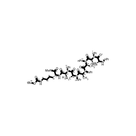 CCCN[C@@H](C)C(=O)N(CCC)[C@@H](C)C(=O)N(CCC)[C@@H](C)C(=O)N(CCC)[C@@H](C)C(=O)N(CCC)[C@@H](C)C(=O)N(CCC)[C@@H](C)C(=O)N[C@H](CCCCNC(=O)OC(C)(C)C)C(=O)NC